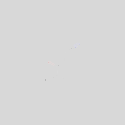 CC(C)C(=O)CCC#N